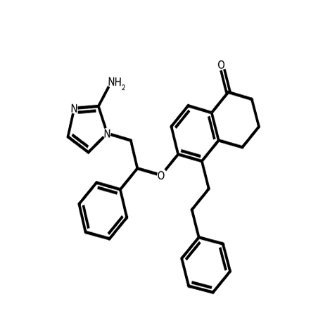 Nc1nccn1CC(Oc1ccc2c(c1CCc1ccccc1)CCCC2=O)c1ccccc1